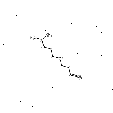 C=CCCOCCO[Si](C)C